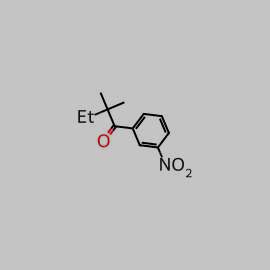 CCC(C)(C)C(=O)c1cccc([N+](=O)[O-])c1